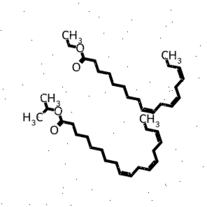 CC/C=C\C/C=C\C/C=C\CCCCCCCC(=O)OC(C)C.CC/C=C\C/C=C\C/C=C\CCCCCCCC(=O)OCC